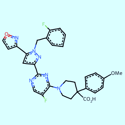 COc1ccc(C2(C(=O)O)CCN(c3nc(-c4cc(-c5ccon5)n(Cc5ccccc5F)n4)ncc3F)CC2)cc1